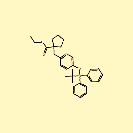 CCOC(=O)C1(Cc2ccc(O[Si](c3ccccc3)(c3ccccc3)C(C)(C)C)cn2)CCCO1